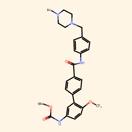 CC(=O)N1CCN(Cc2ccc(NC(=O)c3ccc(-c4cc(NC(=O)OC(C)(C)C)ccc4OC(F)(F)F)cc3)cc2)CC1